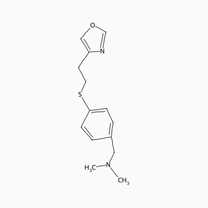 CN(C)Cc1ccc(SCCc2cocn2)cc1